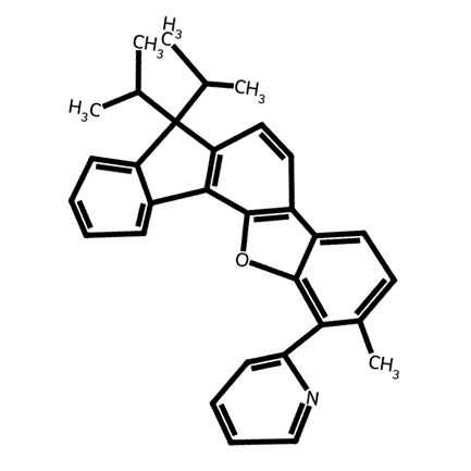 Cc1ccc2c(oc3c4c(ccc32)C(C(C)C)(C(C)C)c2ccccc2-4)c1-c1ccccn1